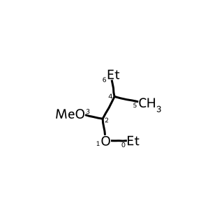 CCOC(OC)C(C)CC